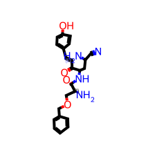 N#CC(N)CC(NC(=O)[C@H](N)COCc1ccccc1)C(=O)/C=C/c1ccc(O)cc1